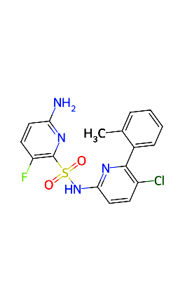 Cc1ccccc1-c1nc(NS(=O)(=O)c2nc(N)ccc2F)ccc1Cl